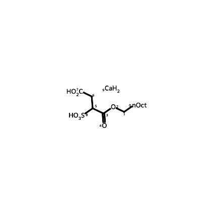 CCCCCCCCCOC(=O)C(CC(=O)O)S(=O)(=O)O.[CaH2]